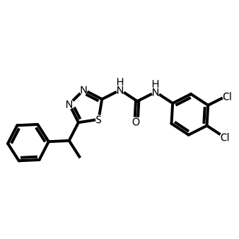 CC(c1ccccc1)c1nnc(NC(=O)Nc2ccc(Cl)c(Cl)c2)s1